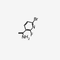 C=C(N)c1ccc(Br)nc1F